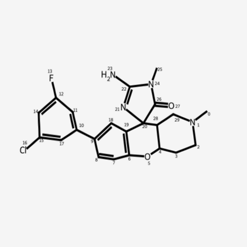 CN1CCC2Oc3ccc(-c4cc(F)cc(Cl)c4)cc3C3(N=C(N)N(C)C3=O)C2C1